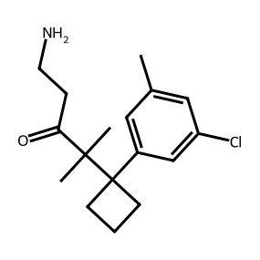 Cc1cc(Cl)cc(C2(C(C)(C)C(=O)CCN)CCC2)c1